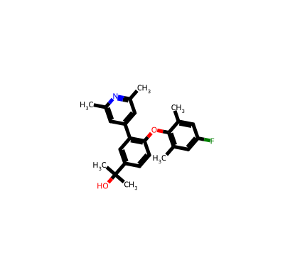 Cc1cc(-c2cc(C(C)(C)O)ccc2Oc2c(C)cc(F)cc2C)cc(C)n1